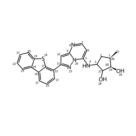 [CH2][C@@H]1CC(Nc2ccnc3cc(-c4cccc5c4sc4ccccc45)nn23)C(O)[C@@H]1O